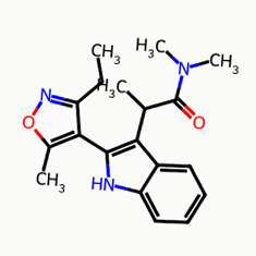 CCc1noc(C)c1-c1[nH]c2ccccc2c1C(C)C(=O)N(C)C